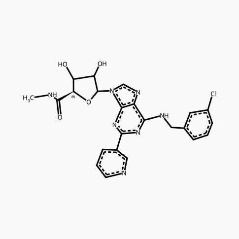 CNC(=O)[C@@H]1OC(n2cnc3c(NCc4cccc(Cl)c4)nc(-c4cccnc4)nc32)C(O)C1O